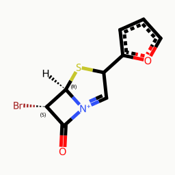 O=C1[C@H](Br)[C@H]2SC(c3ccco3)C=[N+]12